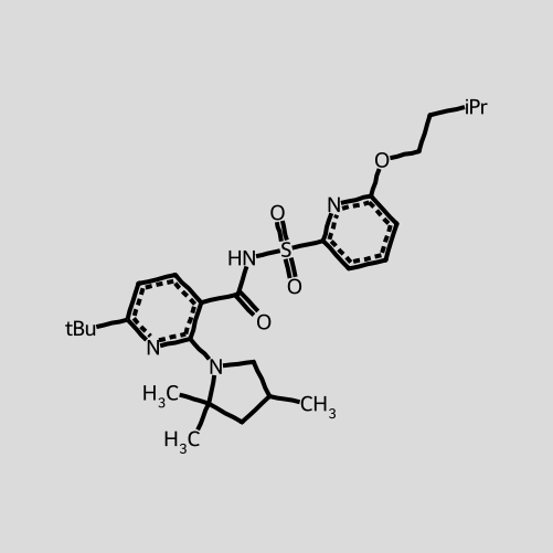 CC(C)CCOc1cccc(S(=O)(=O)NC(=O)c2ccc(C(C)(C)C)nc2N2CC(C)CC2(C)C)n1